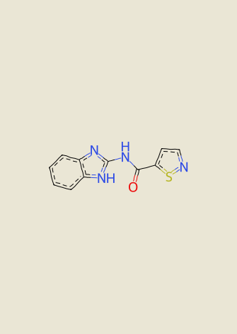 O=C(Nc1nc2ccccc2[nH]1)c1ccns1